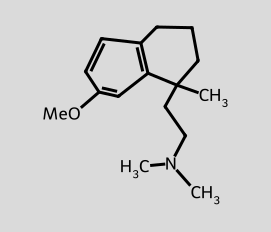 COc1ccc2c(c1)C(C)(CCN(C)C)CCC2